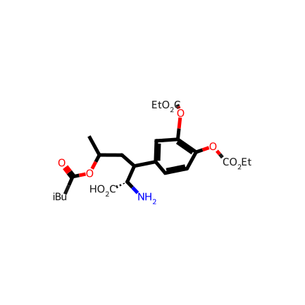 CCOC(=O)Oc1ccc(C(CC(C)OC(=O)C(C)CC)[C@H](N)C(=O)O)cc1OC(=O)OCC